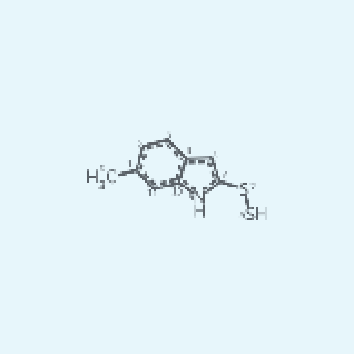 Cc1ccc2cc(SS)[nH]c2c1